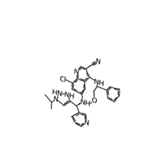 COCC(Nc1c(C#N)cnc2c(Cl)cc(N[C@H](C3=CN(C(C)C)NN3)c3cccnc3)cc12)c1ccccc1